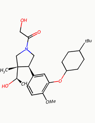 COc1ccc([C@@H]2CN(C(=O)CO)C[C@@]2(C)[C@@H](C)O)cc1OC1CCC(C(C)(C)C)CC1